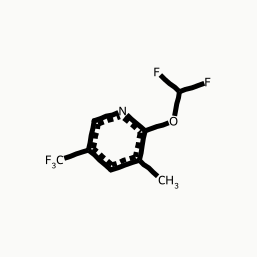 Cc1cc(C(F)(F)F)cnc1OC(F)F